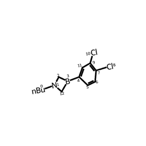 CCCCN1CB(c2ccc(Cl)c(Cl)c2)C1